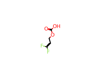 O=C(O)OCC=C(F)F